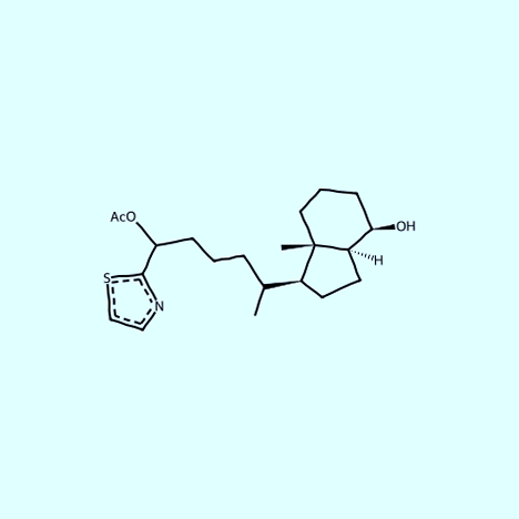 CC(=O)OC(CCCC(C)[C@@H]1CC[C@@H]2[C@H](O)CCC[C@]21C)c1nccs1